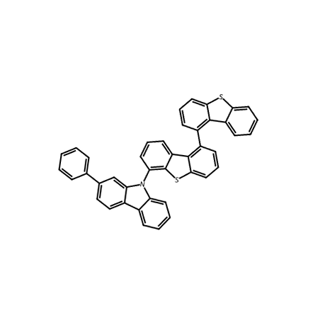 c1ccc(-c2ccc3c4ccccc4n(-c4cccc5c4sc4cccc(-c6cccc7sc8ccccc8c67)c45)c3c2)cc1